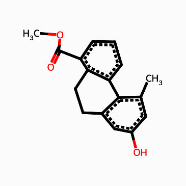 COC(=O)c1cccc2c1CCc1cc(O)cc(C)c1-2